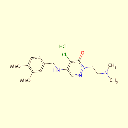 COc1ccc(CNc2cnn(CCN(C)C)c(=O)c2Cl)cc1OC.Cl